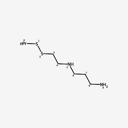 CCCSSCCNCCCN